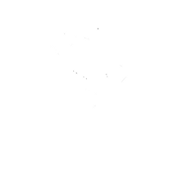 Cc1ccc(-n2nc(-c3ccccc3)c(CC(=O)O)c2-c2ccccc2)cc1